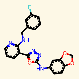 Fc1cccc(CNc2ncccc2-c2nnc(Nc3ccc4c(c3)OCO4)o2)c1